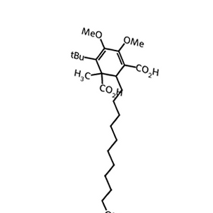 COC1=C(C(=O)O)C(CCCCCCCCCCO)C(C)(C(=O)O)C(C(C)(C)C)=C1OC